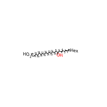 CCCCCCC=CCC=CCC(O)CCCCCCCCCCCCCCC(=O)O